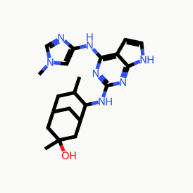 CC1CC2CC(CC(C)(O)C2)C1Nc1nc(Nc2cn(C)cn2)c2cc[nH]c2n1